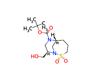 CC(C)(C)OC(=O)N1C[C@H](CO)N2C[C@H]1CCCS2(=O)=O